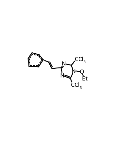 CCON1C(C(Cl)(Cl)Cl)=NC(C=Cc2ccccc2)=NC1C(Cl)(Cl)Cl